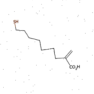 C=C(CCCCCCCS)C(=O)O